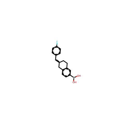 OB(O)c1ccc2c(c1)CCC(=Cc1ccc(F)cc1)C2